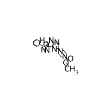 CCOC(=O)N1CCN(c2cnc(N)c(-c3nnc(-c4ccccc4)o3)n2)CC1